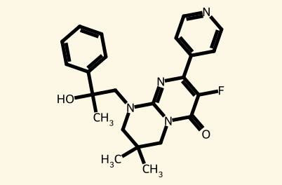 CC1(C)CN(CC(C)(O)c2ccccc2)c2nc(-c3ccncc3)c(F)c(=O)n2C1